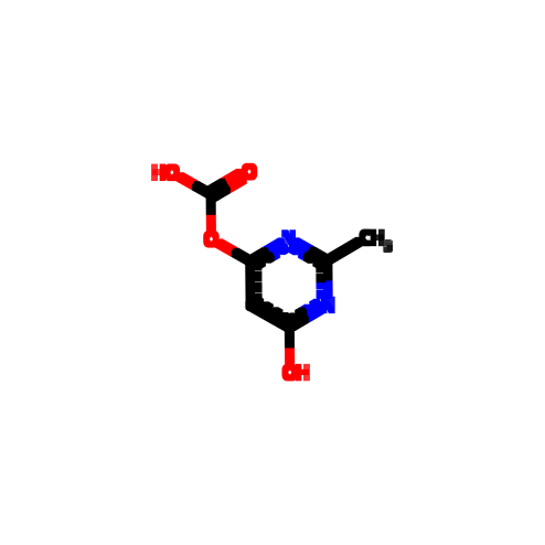 Cc1nc(O)cc(OC(=O)O)n1